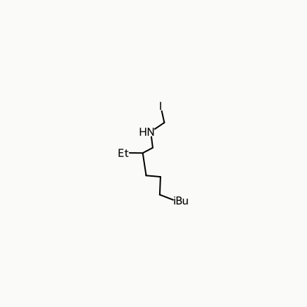 CCC(C)CCCC(CC)CNCI